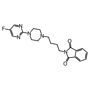 O=C1c2ccccc2C(=O)N1CCCCN1CCN(c2ncc(F)cn2)CC1